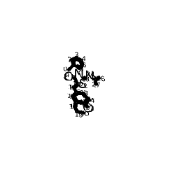 Cc1ccccc1N1C(=O)/C(=C/c2ccc3c(c2)CCCO3)S/C1=N\C(C)C